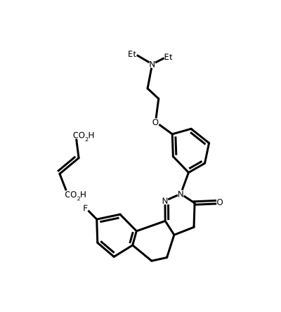 CCN(CC)CCOc1cccc(N2N=C3c4cc(F)ccc4CCC3CC2=O)c1.O=C(O)C=CC(=O)O